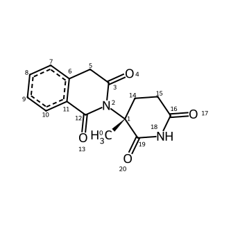 C[C@@]1(N2C(=O)Cc3ccccc3C2=O)CCC(=O)NC1=O